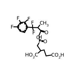 CC(C(=O)O[PH](=O)CC(CCC(=O)O)C(=O)O)C(F)(F)c1ccc(F)c(F)c1F